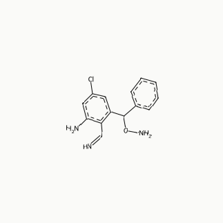 N=Cc1c(N)cc(Cl)cc1C(ON)c1ccccc1